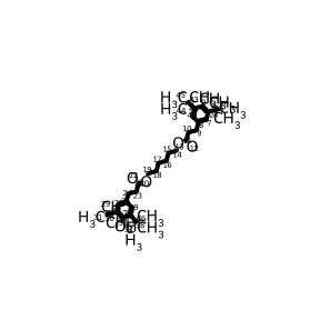 Cc1c(C(C)(C)C)cc(CCC(=O)OCCCCCCOC(=O)CCc2cc(C(C)(C)C)c(O)c(C(C)(C)C)c2)cc1C(C)(C)C